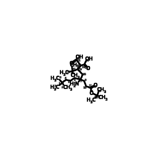 CC(C)(C)CCCC(N)(CCC(=O)OC(C)(C)C)CC(C(C(=O)O)C(=O)O)C(C)(C)C